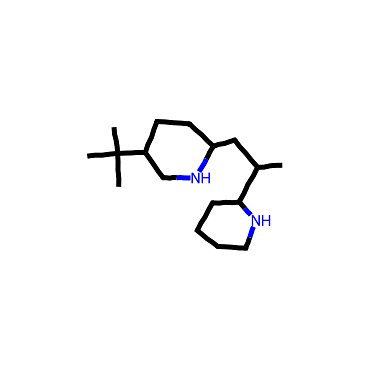 CC(CC1CCC(C(C)(C)C)CN1)C1CCCCN1